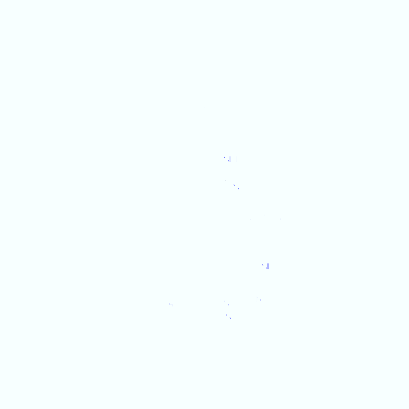 Cc1cc(-c2cc(CN3CCOCC3)n3ncnc(N)c23)ccc1NC(=O)Nc1cc(F)cc(C(F)(F)F)c1